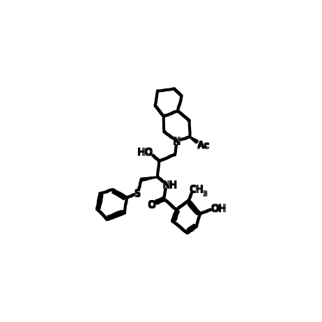 CC(=O)[C@@H]1CC2CCCCC2CN1CC(O)[C@H](CSc1ccccc1)NC(=O)c1cccc(O)c1C